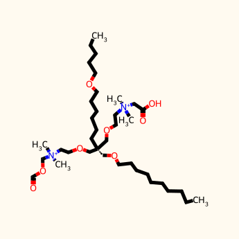 CCCCCCCCCCOC[C@@](CCCCCCOCCCCC)(COCC[N+](C)(C)COC=O)COCC[N+](C)(C)CC(=O)O